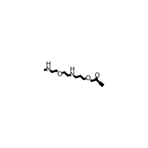 C#CC(=O)COCCCNCCOCCNC